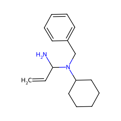 C=CC(N)N(Cc1ccccc1)C1CCCCC1